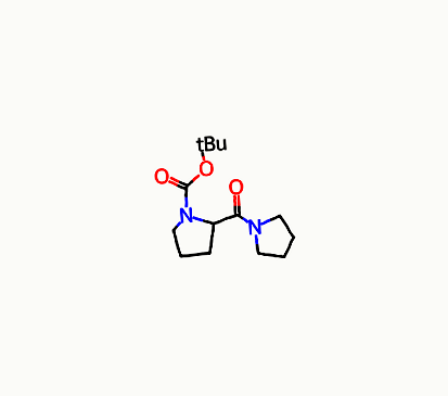 CC(C)(C)OC(=O)N1CCCC1C(=O)N1CCCC1